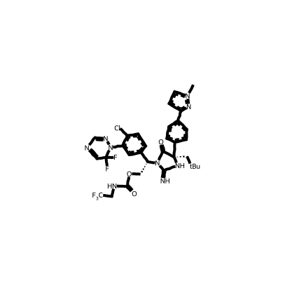 Cn1ccc(-c2ccc([C@@]3(CC(C)(C)C)NC(=N)N([C@H](COC(=O)NCC(F)(F)F)c4ccc(Cl)c(N5N=CN=CC5(F)F)c4)C3=O)cc2)n1